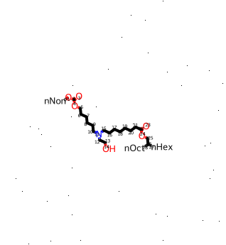 CCCCCCCCCOC(=O)OCCCCCCN(CCO)CCCCCCCC(=O)OCC(CCCCCC)CCCCCCCC